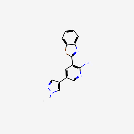 Cn1cc(-c2cnc(N)c(-c3nc4ccccc4s3)c2)cn1